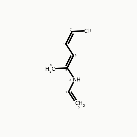 C=CN/C(C)=C/C=C\Cl